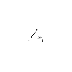 FI.[I-].[I-].[Zn+2]